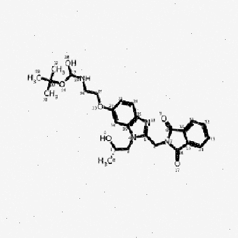 C[C@H](O)Cn1c(CN2C(=O)c3ccccc3C2=O)nc2ccc(OCCNC(O)OC(C)(C)C)cc21